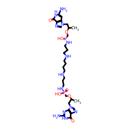 CC(Cn1cnc2c(=O)[nH]c(N)cc21)OCP(O)NCCCNCCCCNCCCNP(=O)(O)COC(C)Cn1cnc2c(=O)[nH]c(N)nc21